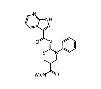 CNC(=O)C1CS/C(=N\C(=O)c2c[nH]c3ncccc23)N(c2ccccc2)C1